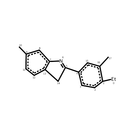 CCc1ccc(C2=Nc3cc(C)ccc3C2)cc1C